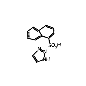 O=S(=O)(O)c1cccc2ccccc12.c1c[nH]nn1